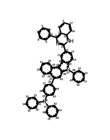 C1=CC2=C(c3ccccc3)N=C(c3ccc4c(c3)c3c5ccccc5c(-c5ccc(N(c6ccccc6)c6ccccc6)cc5)cc3n4-c3ccccc3)NC2C=C1